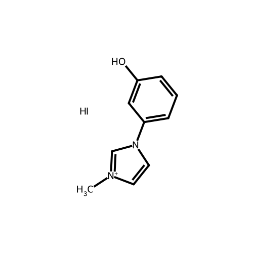 C[n+]1ccn(-c2cccc(O)c2)c1.I